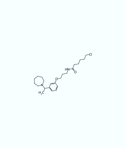 CC(c1cccc(OCCCNC(=O)CCCCCCl)c1)N1CCCCCC1